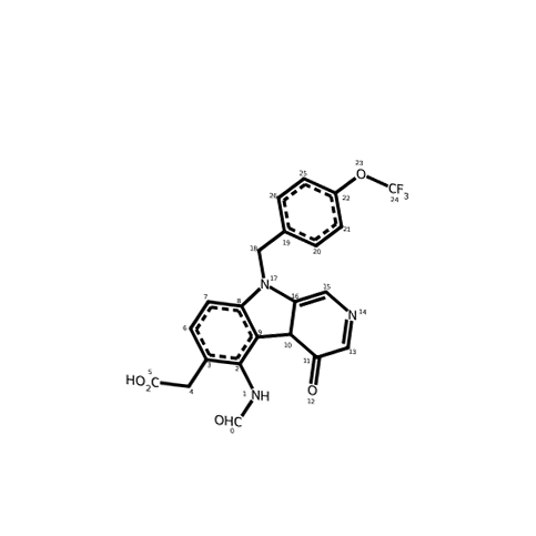 O=CNc1c(CC(=O)O)ccc2c1C1C(=O)C=NC=C1N2Cc1ccc(OC(F)(F)F)cc1